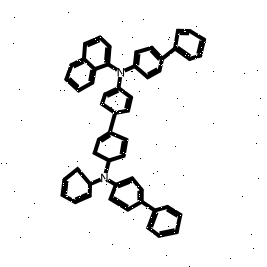 C1=CCC(N(c2ccc(-c3ccccc3)cc2)C2C=CC(C3C=CC(N(c4ccc(-c5ccccc5)cc4)c4cccc5ccccc45)=CC3)=CC2)C=C1